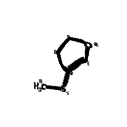 CSC1=COCC1